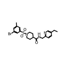 CCc1ccc(CNC(=O)C2CCN(S(=O)(=O)c3cc(C)cc(Br)c3)CC2)nc1